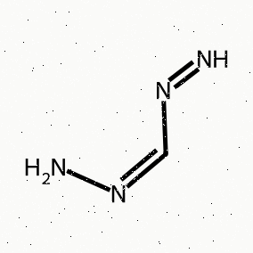 N=N/C=N\N